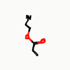 [2H]CCOC(=O)CC